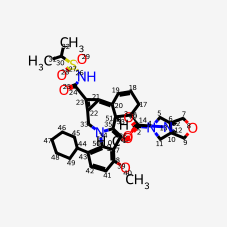 COC(=O)N1CC23COCC2(C1)CN(C(=O)[C@@H]1CC=CC2=C4C(=C4C(=O)NS(=O)(=O)C(C)C)Cn4c(cc5c(OC)ccc(C6CCCCC6)c54)[C@H]21)C3